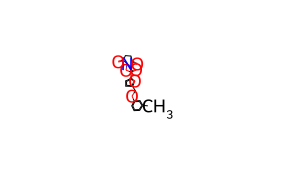 Cc1cccc(OCc2ccc(C(=O)ON3C(=O)CCC3=O)o2)c1